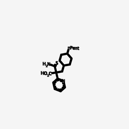 CCCCCC1CCC(CC(C(=O)O)(C(N)=S)c2ccccn2)CC1